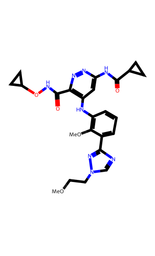 COCCn1cnc(-c2cccc(Nc3cc(NC(=O)C4CC4)nnc3C(=O)NOC3CC3)c2OC)n1